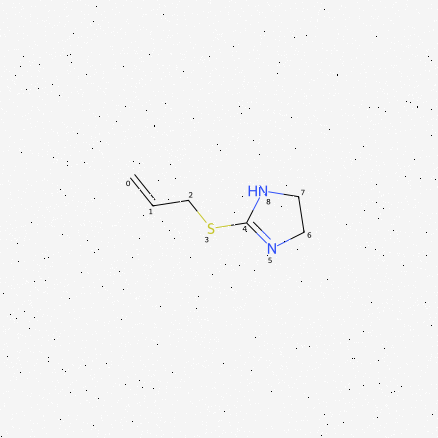 C=CCSC1=NCCN1